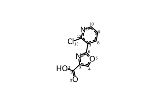 O=C(O)c1coc(-c2cccnc2Cl)n1